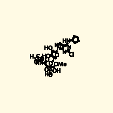 COCC(CC(=O)NS(C)(=O)=O)(OC[C@H]1O[C@@H](n2ncc3c(NC4CCCC4)nc(Cl)nc32)[C@H](O)[C@@H]1O)P(=O)(O)O